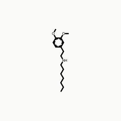 CCCCCCCNCCc1ccc(OC)c(OC)c1